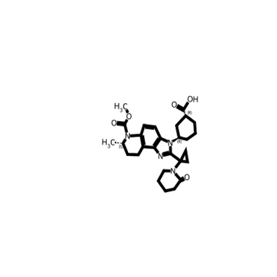 COC(=O)N1c2ccc3c(nc(C4(N5CCCCC5=O)CC4)n3[C@@H]3CCC[C@@H](C(=O)O)C3)c2CC[C@@H]1C